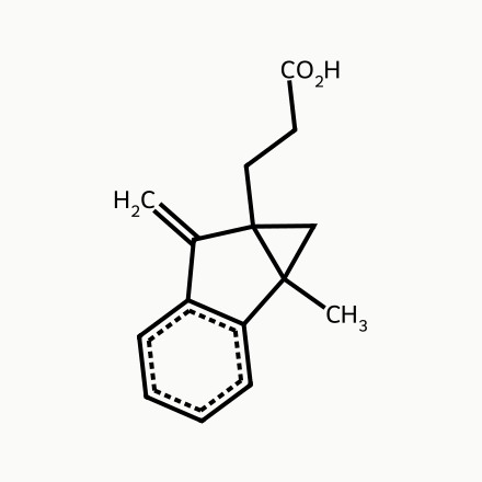 C=C1c2ccccc2C2(C)CC12CCC(=O)O